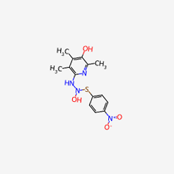 Cc1nc(NN(O)Sc2ccc([N+](=O)[O-])cc2)c(C)c(C)c1O